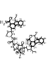 CCC(CCNC(=O)C1CN(C(=O)NCCC(CC)c2cc(C(N)=O)c3c(c2)c2ccccc2n3CC)CCN1S(=O)(=O)N(C)C)c1cc(C(N)=O)c2c(c1)c1ccccc1n2CC